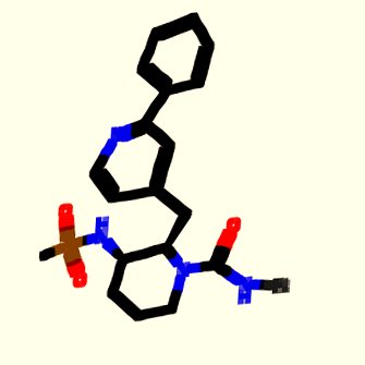 CCNC(=O)N1CCC[C@@H](NS(C)(=O)=O)[C@H]1Cc1ccnc(-c2ccccc2)c1